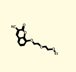 CCOCCOCCOc1cccc2cc(C#N)c(=O)oc12